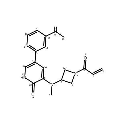 C=CC(=O)N1CC(N(C)c2cc(-c3cc(NC)ccn3)c[nH]c2=O)C1